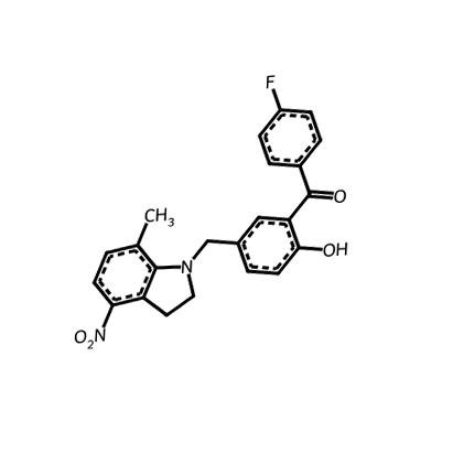 Cc1ccc([N+](=O)[O-])c2c1N(Cc1ccc(O)c(C(=O)c3ccc(F)cc3)c1)CC2